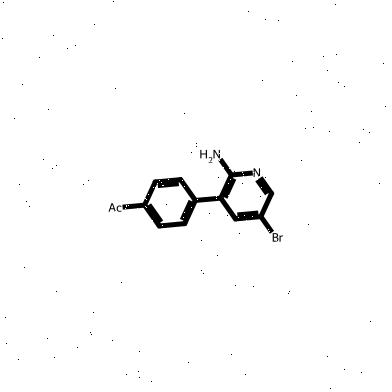 CC(=O)c1ccc(-c2cc(Br)cnc2N)cc1